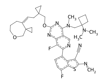 C=Nc1sc2c(F)ccc(-c3ncc4c(N(C)CC5(N(C)C)CCC5)nc(OCC5(C/C=C6/CCCOCC67CC7)CC5)nc4c3F)c2c1C#N